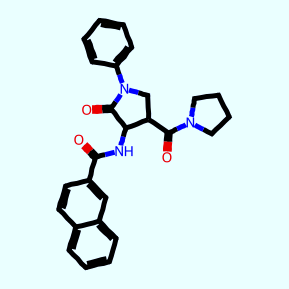 O=C(NC1C(=O)N(c2ccccc2)CC1C(=O)N1CCCC1)c1ccc2ccccc2c1